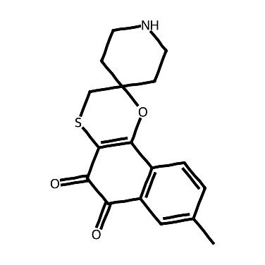 Cc1ccc2c(c1)C(=O)C(=O)C1=C2OC2(CCNCC2)CS1